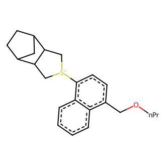 CCCOCc1ccc([S+]2CC3C4CCC(C4)C3C2)c2ccccc12